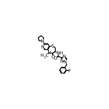 CN1C(=O)[C@@H](NC(=O)c2ncn(Cc3ccccc3F)n2)CSc2cc(N3CCCC3)ncc21